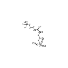 CCO[Si](CCCNC(=O)OCCCC(C)(C)CC)(OCC)OCC